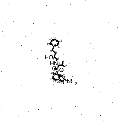 CC(C)[C@@H](NC[C@H](O)[CH]Cc1ccccc1)S(=O)(=O)c1cccc2nc(N)sc12